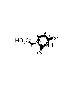 O=C(O)Cn1ccc(=S)[nH]c1=S